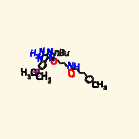 CCCCc1nc2c(N)nc3cc(P(C)C)ccc3c2n1OCCCCNC(=O)CCCc1ccc(C)cc1